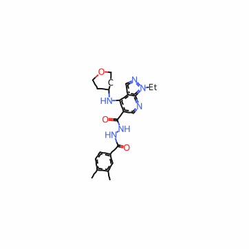 CCn1ncc2c(NC3CCOCC3)c(C(=O)NNC(=O)c3ccc(C)c(C)c3)cnc21